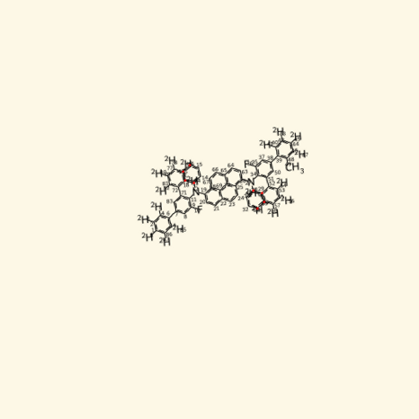 [2H]c1c([2H])c([2H])c(-c2cc(F)c(N(c3ccccc3)c3ccc4ccc5c(N(c6ccccc6)c6c(F)cc(-c7c([2H])c([2H])c([2H])c([2H])c7C)cc6-c6c([2H])c([2H])c([2H])c([2H])c6[2H])ccc6ccc3c4c65)c(-c3c([2H])c([2H])c([2H])c([2H])c3[2H])c2)c([2H])c1[2H]